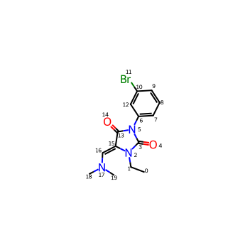 CCN1C(=O)N(c2cccc(Br)c2)C(=O)/C1=C/N(C)C